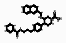 O=C(OCCCc1ccc(C2CCN(C(=O)O)CC2OCc2ccc3ccccc3c2)cc1)c1ccccc1